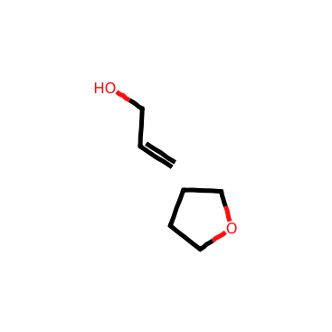 C1CCOC1.C=CCO